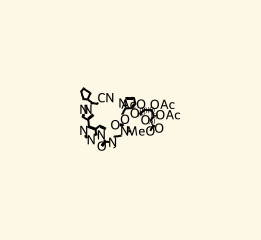 COC(=O)[C@H]1O[C@@H](Oc2cccnc2COC(=O)N(C)CCN(C)C(=O)n2ccc3c(-c4cnn(C(CC#N)C5CCCC5)c4)ncnc32)[C@H](OC(C)=O)[C@@H](OC(C)=O)[C@@H]1OC(C)=O